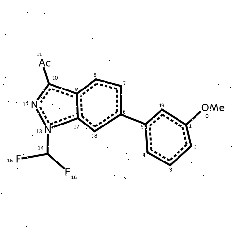 COc1cccc(-c2ccc3c(C(C)=O)nn(C(F)F)c3c2)c1